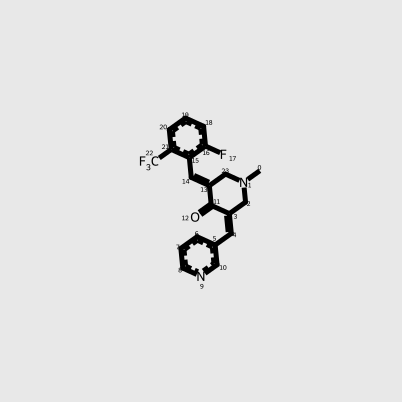 CN1CC(=Cc2cccnc2)C(=O)/C(=C/c2c(F)cccc2C(F)(F)F)C1